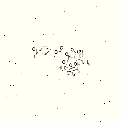 CC(C)(C)OC(=O)N(OCC(=O)OCc1ccc([N+](=O)[O-])cc1)[C@H](C(=O)O)C(O)C(N)=O